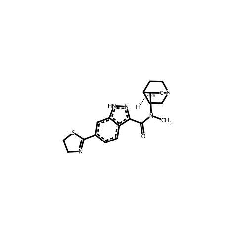 CN(C(=O)c1n[nH]c2cc(C3=NCCS3)ccc12)[C@@H]1CN2CCC1CC2